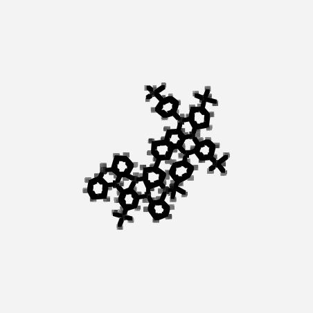 C[Si](C)(C)c1ccc(N2c3cc([Si](C)(C)C)ccc3B3c4ccc([Si](C)(C)C)cc4N(c4ccc([Si](C)(C)C)cc4)c4c3c2cc2ccc(-c3cc5c6c(c3)B3c7cccc8c7N(c7ccccc7O8)c7cc([Si](C)(C)C)cc(c73)N6c3ccccc3O5)cc42)cc1